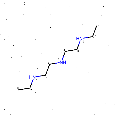 [CH2]CNCCNCCNCC